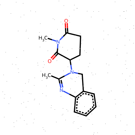 CC1=Nc2ccccc2CN1C1CCC(=O)N(C)C1=O